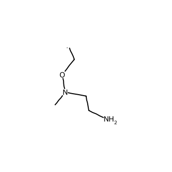 [CH2]CON(C)CCN